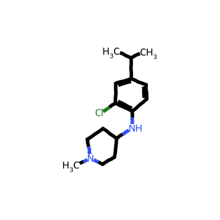 CC(C)c1ccc(NC2CCN(C)CC2)c(Cl)c1